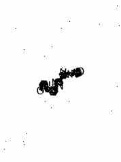 O=c1cccnn1Cc1cccc(-c2ncc(-c3cnn(CCN4CCOCC4)c3)cn2)c1